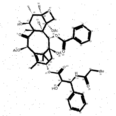 CC(=O)O[C@H]1C(=O)[C@@]2(C)[C@H]([C@H](OC(=O)c3ccccc3)[C@]3(O)C[C@H](OC(=O)[C@H](O)[C@@H](NC(=O)CC(C)(C)C)c4ccccc4)C(C)=C1C3(C)C)[C@]1(OC(C)=O)CO[C@@H]1[C@@H](C)[C@@H]2O